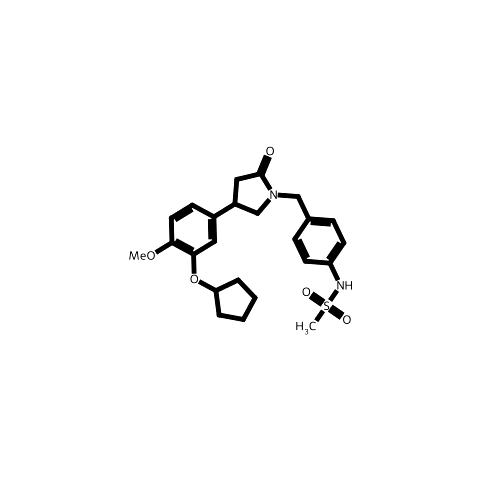 COc1ccc(C2CC(=O)N(Cc3ccc(NS(C)(=O)=O)cc3)C2)cc1OC1CCCC1